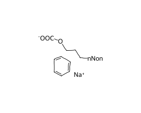 CCCCCCCCCCCCOC(=O)[O-].[Na+].c1ccccc1